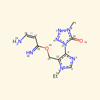 CCn1cnc(-n2nnn(C)c2=O)c1COC(=N)/C=C\N